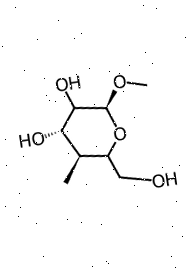 CO[C@H]1OC(CO)[C@@H](C)[C@H](O)C1O